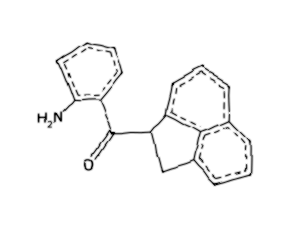 Nc1ccccc1C(=O)C1Cc2cccc3cccc1c23